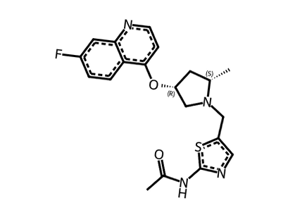 CC(=O)Nc1ncc(CN2C[C@H](Oc3ccnc4cc(F)ccc34)C[C@@H]2C)s1